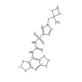 CC1(Cn2ccc(S(=O)(=O)NC(=O)Nc3c4c(cc5c3CCC5)CCC4)n2)COC1